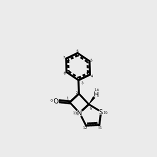 O=C1C(c2ccccc2)[C@@H]2SC=CN12